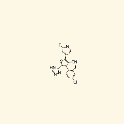 N#Cc1c(-c2ccnc(F)c2)sc(-c2nnc[nH]2)c1-c1ccc(Cl)cc1I